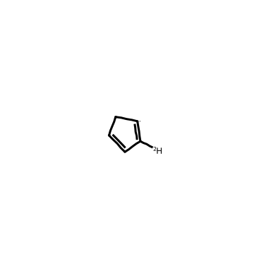 [2H]C1=[C]CC=C1